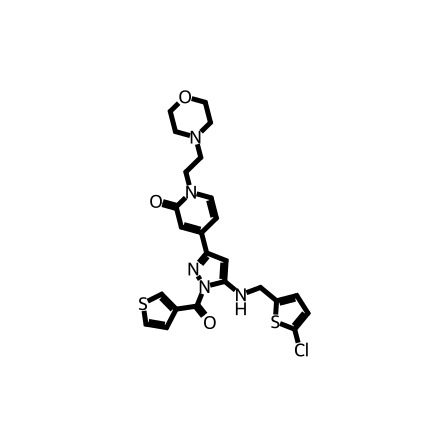 O=C(c1ccsc1)n1nc(-c2ccn(CCN3CCOCC3)c(=O)c2)cc1NCc1ccc(Cl)s1